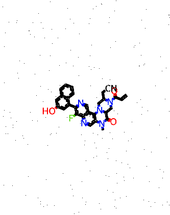 C=CC(=O)N1CC2C(=O)N(C)c3cnc4c(F)c(-c5cc(O)cc6ccccc56)ncc4c3N2CC1CC#N